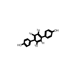 [2H]c1c([2H])c(-c2ccc(O)cc2)c([2H])c([2H])c1-c1ccc(O)cc1